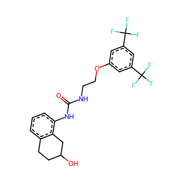 O=C(NCCOc1cc(C(F)(F)F)cc(C(F)(F)F)c1)Nc1cccc2c1CC(O)CC2